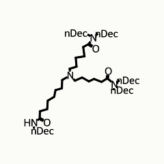 CCCCCCCCCCNC(=O)CCCCCCCN(CCCCCC(=O)N(CCCCCCCCCC)CCCCCCCCCC)CCCCCC(=O)N(CCCCCCCCCC)CCCCCCCCCC